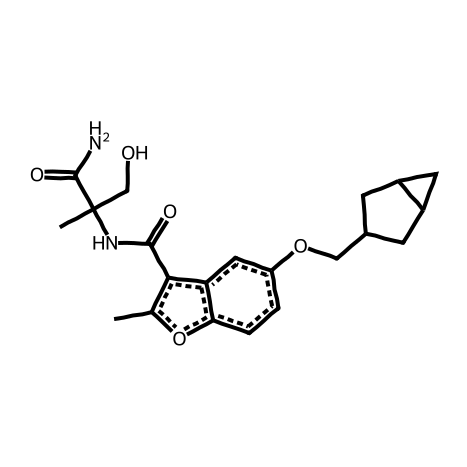 Cc1oc2ccc(OCC3CC4CC4C3)cc2c1C(=O)NC(C)(CO)C(N)=O